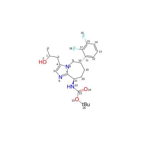 CC(O)Cc1cnc2n1C[C@H](c1cccc(F)c1F)CC[C@H]2NC(=O)OC(C)(C)C